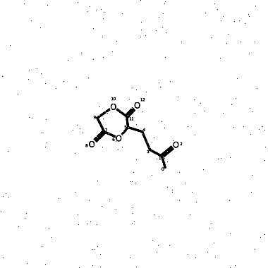 CC(=O)CCC1OC(=O)COC1=O